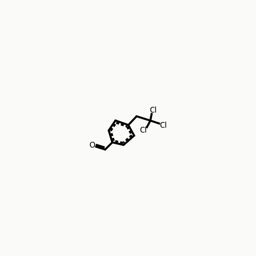 O=Cc1ccc(CC(Cl)(Cl)Cl)cc1